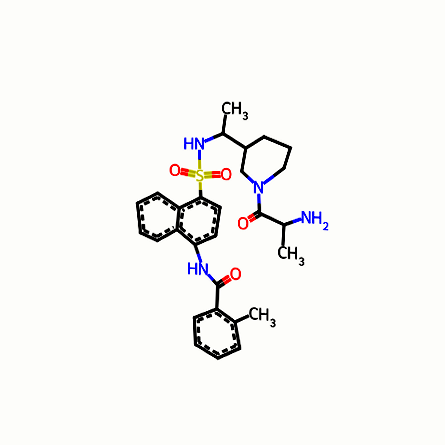 Cc1ccccc1C(=O)Nc1ccc(S(=O)(=O)NC(C)C2CCCN(C(=O)C(C)N)C2)c2ccccc12